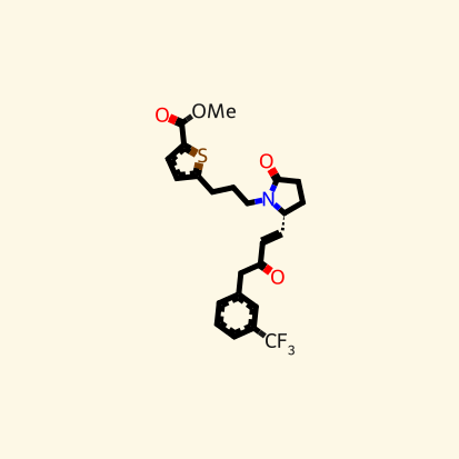 COC(=O)c1ccc(CCCN2C(=O)CC[C@@H]2C=CC(=O)Cc2cccc(C(F)(F)F)c2)s1